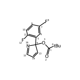 CC(C)(C)C(=O)OC1(c2cc(F)ccc2F)C=CC=N1